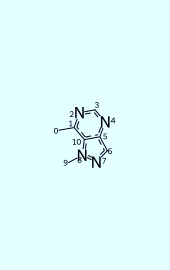 Cc1ncnc2cnn(C)c12